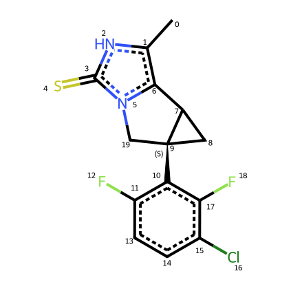 Cc1[nH]c(=S)n2c1C1C[C@]1(c1c(F)ccc(Cl)c1F)C2